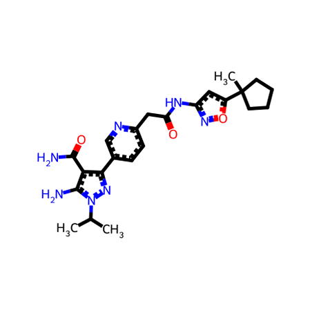 CC(C)n1nc(-c2ccc(CC(=O)Nc3cc(C4(C)CCCC4)on3)nc2)c(C(N)=O)c1N